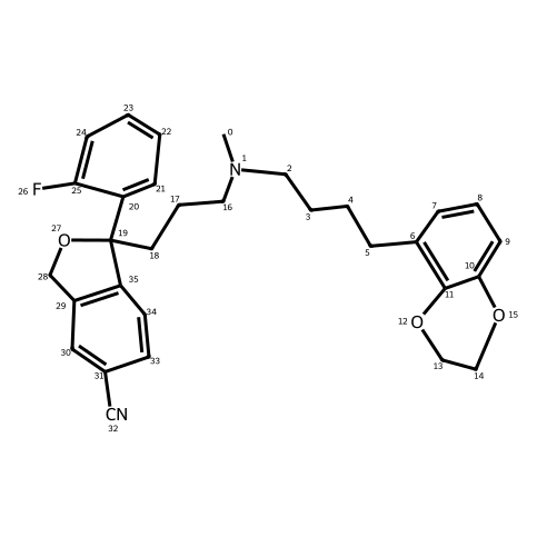 CN(CCCCc1cccc2c1OCCO2)CCCC1(c2ccccc2F)OCc2cc(C#N)ccc21